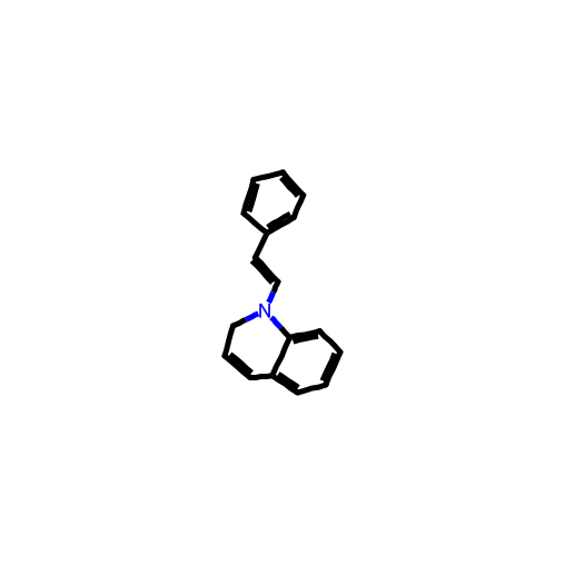 C1=Cc2ccccc2N(C=Cc2ccccc2)C1